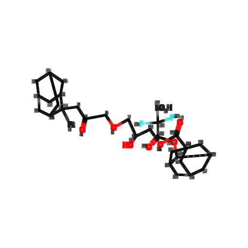 CCC1(CC(=O)COCC(O)COC(=O)C23CC4CC(C2)C(OC(=O)C(F)(F)S(=O)(=O)O)C(C4)C3)C2CC3CC(C2)CC1C3